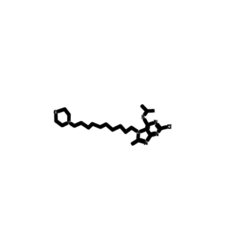 Cc1nc2nc(Cl)nc(SC(C)C)c2n1CCCCCCCCCCN1CCOCC1